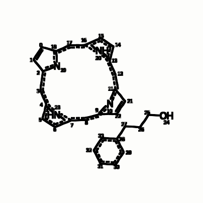 C1=Cc2cc3ccc(cc4nc(cc5ccc(cc1n2)[nH]5)C=C4)[nH]3.OCCCc1ccccc1